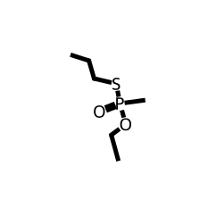 CCCSP(C)(=O)OCC